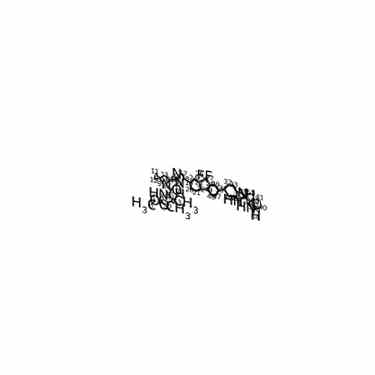 COC(=O)N[C@H](C(=O)N1CC2(CC2)C[C@H]1c1ncc(-c2ccc3c(c2)C(F)(F)c2cc(-c4ccc5nc(C6N[C@@H]7CC[C@H]6C7)[nH]c5c4)ccc2-3)[nH]1)C(C)C